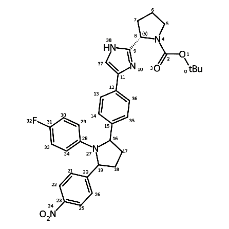 CC(C)(C)OC(=O)N1CCC[C@H]1c1nc(-c2ccc(C3CCC(c4ccc([N+](=O)[O-])cc4)N3c3ccc(F)cc3)cc2)c[nH]1